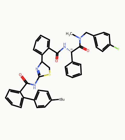 CN(Cc1ccc(F)cc1)C(=O)[C@@H](NC(=O)c1ccccc1C1CSC(NC(=O)c2ccccc2-c2ccc(C(C)(C)C)cc2)=N1)c1ccccc1